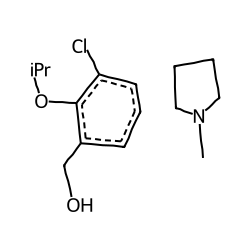 CC(C)Oc1c(Cl)cccc1CO.CN1CCCC1